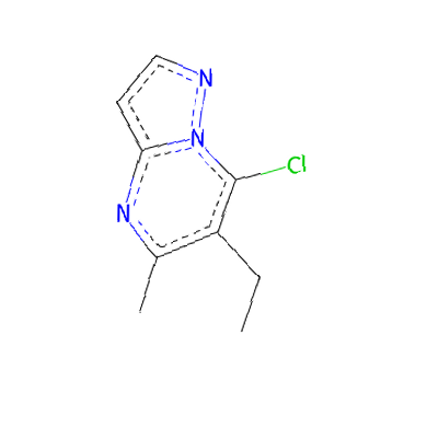 CCc1c(C)nc2ccnn2c1Cl